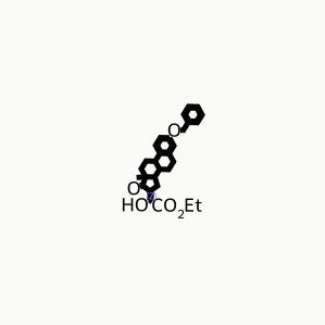 CCOC(=O)/C(O)=C1\CC2C3CCc4cc(OCc5ccccc5)ccc4C3CCC2(C)C1=O